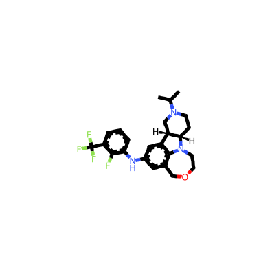 CC(C)N1CC[C@H]2[C@@H](C1)c1cc(Nc3cccc(C(F)(F)F)c3F)cc3c1N2CCOC3